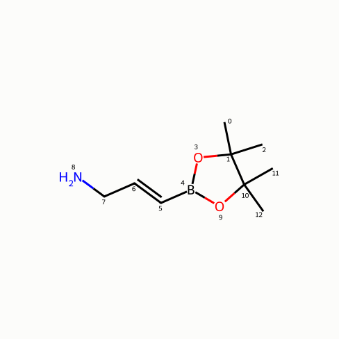 CC1(C)OB(/C=C/CN)OC1(C)C